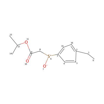 CCc1ccc([S+]([O-])CC(=O)OC(C)C)cc1